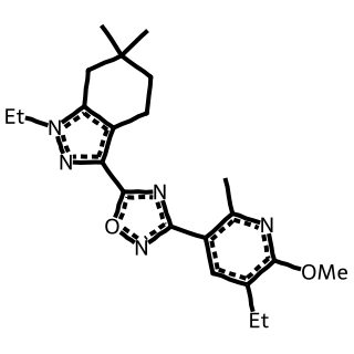 CCc1cc(-c2noc(-c3nn(CC)c4c3CCC(C)(C)C4)n2)c(C)nc1OC